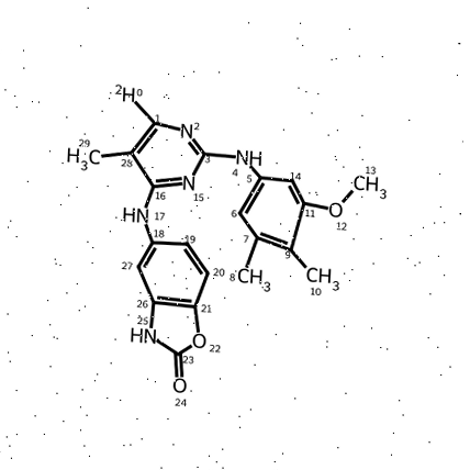 [2H]c1nc(Nc2cc(C)c(C)c(OC)c2)nc(Nc2ccc3oc(=O)[nH]c3c2)c1C